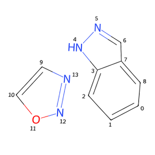 c1ccc2[nH]ncc2c1.c1conn1